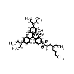 CCCCC(CC)CNS(=O)(=O)c1ccc(-c2c3ccc(=[N+](CC)CC)cc-3oc3cc(N(CC)CC)ccc23)c(S(=O)(=O)O)c1